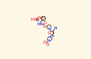 COC(=O)N1CCN(C(C)(C)C=C(C#N)C(=O)N2CCC[C@H](OC(=O)N[C@H](CB(O)O)c3ccccc3)C2)CC1